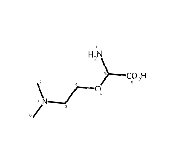 CN(C)CCOC(N)C(=O)O